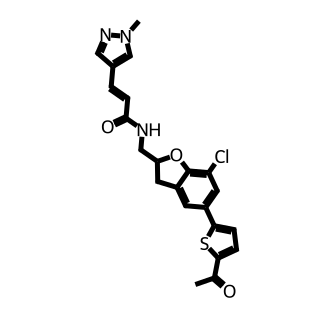 CC(=O)c1ccc(-c2cc(Cl)c3c(c2)CC(CNC(=O)/C=C/c2cnn(C)c2)O3)s1